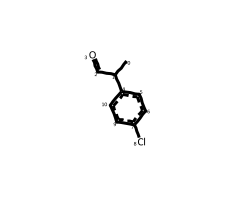 [CH2]C(C=O)c1ccc(Cl)cc1